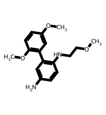 COCCNc1ccc(N)cc1-c1cc(OC)ccc1OC